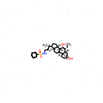 CC[C@H]1[C@@H](O)[C@@H]2[C@H](CC[C@]3(C)C([C@H](C)CCNS(=O)(=O)c4ccccc4)CC[C@@H]23)[C@@]2(C)CC[C@@H](O)C[C@@H]12